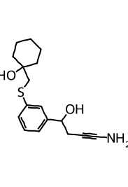 NC#CCC(O)c1cccc(SCC2(O)CCCCC2)c1